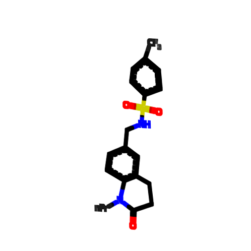 CCCN1C(=O)CCc2cc(CNS(=O)(=O)c3ccc(C(F)(F)F)cc3)ccc21